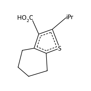 CC(C)c1sc2c(c1C(=O)O)CCCC2